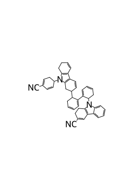 N#CC1=CCC(n2c3c(c4c2CC(C2CC=CC=C2C2=CC=CCC2n2c5c(c6ccccc62)C=C(C#N)CC5)C=C4)C=CCC3)C=C1